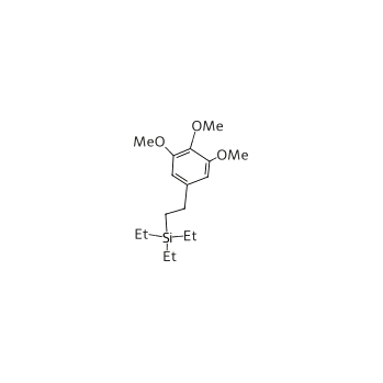 CC[Si](CC)(CC)CCc1cc(OC)c(OC)c(OC)c1